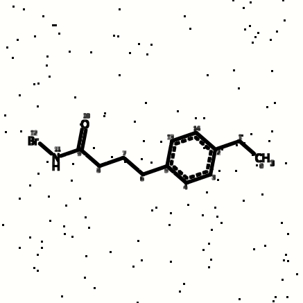 CCc1ccc(CCCC(=O)NBr)cc1